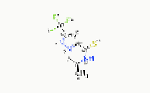 C[C@H]1Cn2nc(C(F)(F)F)cc2C(=S)N1